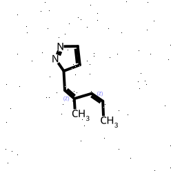 C/C=C\C(C)=C/C1C=CN=N1